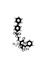 C[C@@]12OC(=O)[C@]1([C@@H](O)[C@@H]1C=CCCC1)NC(=O)[C@@H]2CCOS(=O)(=O)c1ccc(-c2ccccc2)cc1